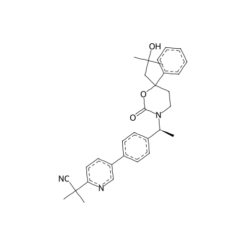 C[C@@H](c1ccc(-c2ccc(C(C)(C)C#N)nc2)cc1)N1CCC(CC(C)(C)O)(c2ccccc2)OC1=O